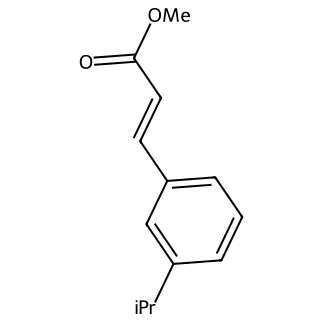 COC(=O)C=Cc1cccc(C(C)C)c1